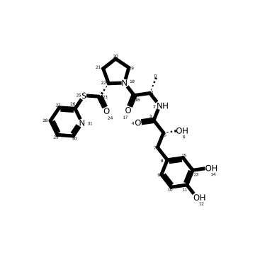 C[C@H](NC(=O)[C@H](O)Cc1ccc(O)c(O)c1)C(=O)N1CCC[C@H]1C(=O)Sc1ccccn1